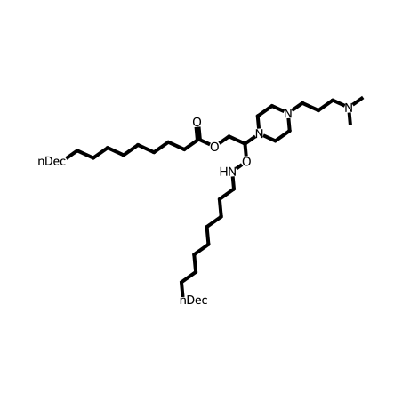 CCCCCCCCCCCCCCCCCCNOC(COC(=O)CCCCCCCCCCCCCCCCCC)N1CCN(CCCN(C)C)CC1